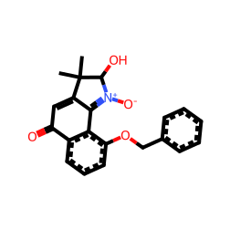 CC1(C)C2=CC(=O)c3cccc(OCc4ccccc4)c3C2=[N+]([O-])C1O